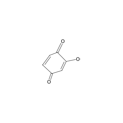 [O]C1=CC(=O)C=CC1=O